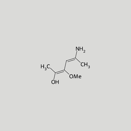 COC(/C=C(\C)N)=C(/C)O